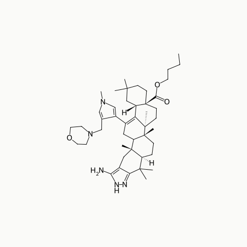 CCCCOC(=O)[C@]12CCC(C)(C)C[C@H]1C1=C(c3cn(C)cc3CN3CCOCC3)CC3[C@@]4(C)Cc5c(n[nH]c5N)C(C)(C)[C@@H]4CC[C@@]3(C)[C@]1(C)CC2